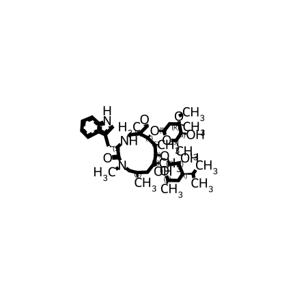 CO[C@]1(C)C[C@H](O[C@H]2[C@H](C)[C@@H](O[C@@H]3O[C@H](C)C[C@H](C(C)C)[C@H]3O)[C@](C)(O)C[C@@H](C)CN(C)C(=O)[C@H](Cc3c[nH]c4ccccc34)NC[C@]2(C)C=O)O[C@@H](C)[C@@H]1O